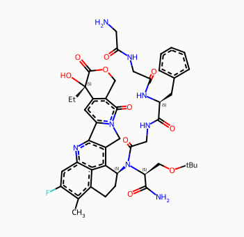 CC[C@@]1(O)C(=O)OCc2c1cc1n(c2=O)Cc2c-1nc1cc(F)c(C)c3c1c2[C@@H](N(C(=O)CNC(=O)[C@H](Cc1ccccc1)NC(=O)CNC(=O)CN)[C@@H](COC(C)(C)C)C(N)=O)CC3